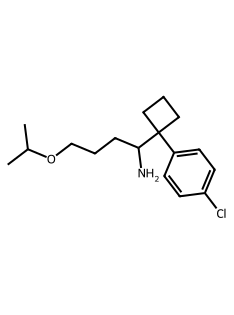 CC(C)OCCCC(N)C1(c2ccc(Cl)cc2)CCC1